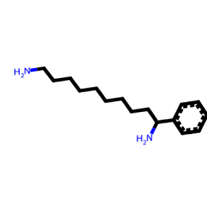 NCCCCCCCCCC(N)c1cc[c]cc1